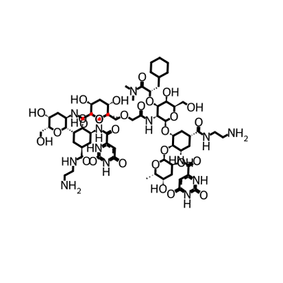 C[C@@H]1O[C@@H](O[C@@H]2[C@@H](NC(=O)c3cc(=O)[nH]c(=O)[nH]3)C[C@@H](C(=O)NCCN)C[C@H]2O[C@@H]2O[C@H](CO)[C@H](O)[C@H](O[C@@H](CC3CCCCC3)C(=O)N(C)C)[C@H]2NC(=O)COCCOCC(=O)N[C@@H]2C[C@@H](O)[C@@H](CO)O[C@H]2C2C[C@H](C(=O)NCCN)C[C@H](NC(=O)c3cc(=O)[nH]c(=O)[nH]3)[C@H]2O[C@@H]2O[C@@H](C)[C@@H](O)C[C@@H]2O)[C@@H](O)C[C@@H]1O